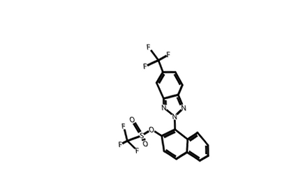 O=S(=O)(Oc1ccc2ccccc2c1-n1nc2ccc(C(F)(F)F)cc2n1)C(F)(F)F